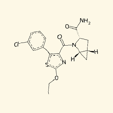 CCOc1nc(C(=O)N2[C@H](C(N)=O)C[C@@H]3C[C@@H]32)c(-c2cccc(Cl)c2)s1